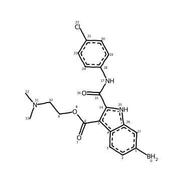 Bc1ccc2c(C(=O)OCCN(C)C)c(C(=O)Nc3ccc(Cl)cc3)[nH]c2c1